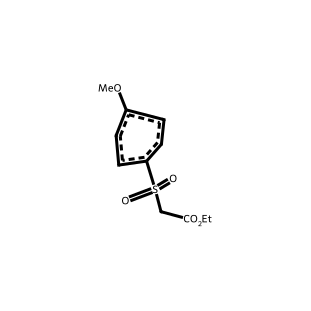 CCOC(=O)CS(=O)(=O)c1ccc(OC)cc1